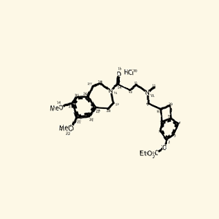 CCOC(=O)Oc1ccc2c(c1)C(CN(C)CCC(=O)N1CCc3cc(OC)c(OC)cc3CC1)C2.Cl